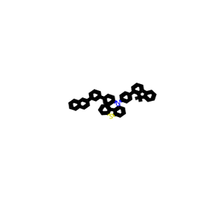 CC1(C)c2ccccc2-c2cccc(-c3ccc(N(c4ccc(-c5cccc(-c6ccc7ccccc7c6)c5)cc4)c4cccc5sc6ccccc6c45)cc3)c21